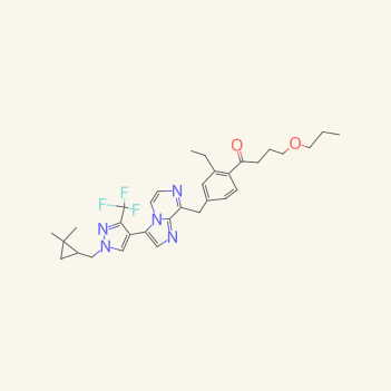 CCCOCCCC(=O)c1ccc(Cc2nccn3c(-c4cn(CC5CC5(C)C)nc4C(F)(F)F)cnc23)cc1CC